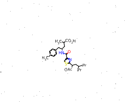 CC(=O)OC(CC(C(C)C)C(C)C)c1nc(C(=O)NC(Cc2ccc(C)cc2)CC(C)C(=O)O)cs1